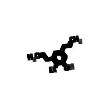 C=CCc1cc(O)c(CC)c(CC=C)c1